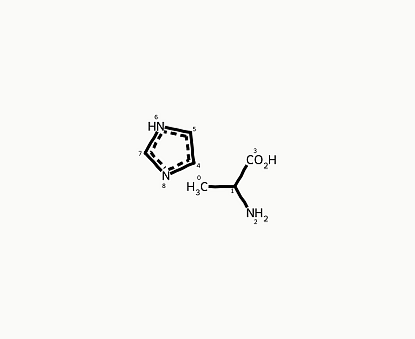 CC(N)C(=O)O.c1c[nH]cn1